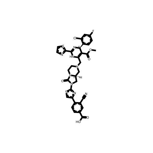 COC(=O)C1=C(CN2CCN3C(=O)N(c4nc(-c5ccc(C(=O)O)cc5C#N)cs4)C[C@@H]3C2)NC(c2nccs2)=N[C@H]1c1ccc(F)cc1Cl